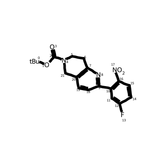 CC(C)(C)OC(=O)N1CCc2nc(-c3cc(F)ccc3[N+](=O)[O-])ccc2C1